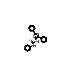 O=C(Nc1ccccc1)Nc1sc(-c2ccccc2)nc1-c1ccccc1